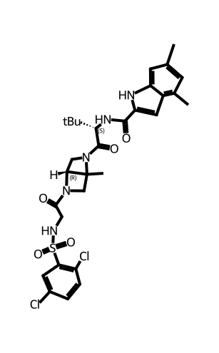 Cc1cc(C)c2cc(C(=O)N[C@H](C(=O)N3C[C@H]4N(C(=O)CNS(=O)(=O)c5cc(Cl)ccc5Cl)CC43C)C(C)(C)C)[nH]c2c1